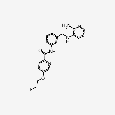 Nc1ncccc1NCc1cccc(NC(=O)c2ccc(OCCF)cn2)c1